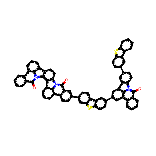 O=c1c2ccccc2c2cc(-c3ccc4sc5cc(-c6ccc7c(c6)c(=O)n6c8ccc9c%10cccc%11c%12ccccc%12c(=O)n(c%11%10)c9c8c8cccc7c86)ccc5c4c3)cc3c4cc(-c5ccc6sc7ccccc7c6c5)ccc4n1c23